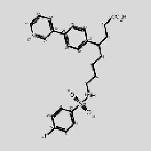 O=C(O)CCC(CCCCNS(=O)(=O)c1ccc(F)cc1)c1ccc(-c2cccnc2)cc1